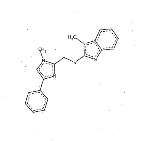 Cn1cc(-c2ccccc2)nc1CSc1nc2ccccc2n1C